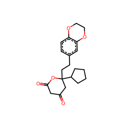 O=C1CC(=O)OC(CCc2ccc3c(c2)OCCO3)(C2CCCC2)C1